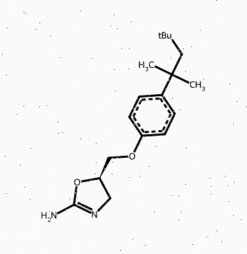 CC(C)(C)CC(C)(C)c1ccc(OC[C@H]2CN=C(N)O2)cc1